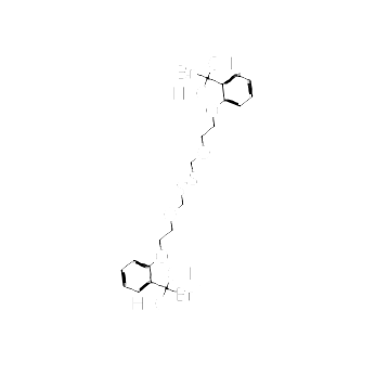 CC(C)(Br)c1ccccc1OCCOCSSCOCCOc1ccccc1C(C)(C)Br